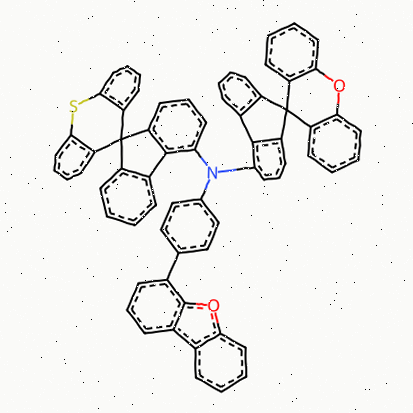 c1ccc2c(c1)Oc1ccccc1C21c2ccccc2-c2c(N(c3ccc(-c4cccc5c4oc4ccccc45)cc3)c3cccc4c3-c3ccccc3C43c4ccccc4Sc4ccccc43)cccc21